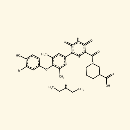 CCNCC.Cc1cc(-n2nc(C(=O)N3CCCC(C(=O)O)C3)c(=O)[nH]c2=O)cc(C)c1Oc1ccc(O)c(Br)c1